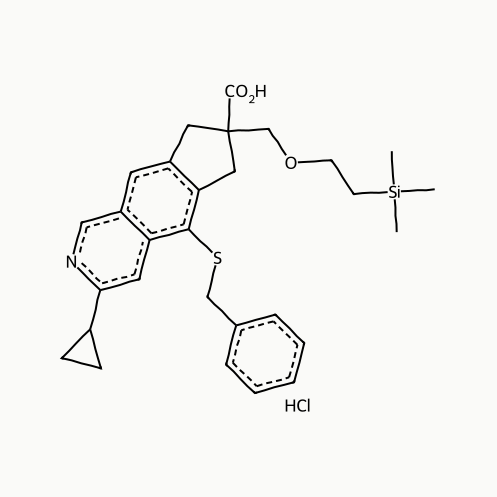 C[Si](C)(C)CCOCC1(C(=O)O)Cc2cc3cnc(C4CC4)cc3c(SCc3ccccc3)c2C1.Cl